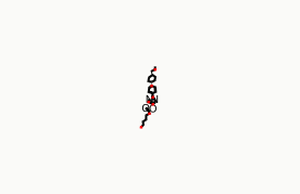 CCCCCCC(=O)Oc1cnc(-c2ccc([C@H]3CC[C@H](CCC)CC3)cc2)nc1